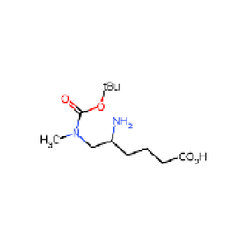 CN(CC(N)CCCC(=O)O)C(=O)OC(C)(C)C